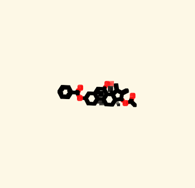 C=C1C(=C)[C@H]2[C@@H]3C(O)C=C4CC(OC(=O)c5ccccc5)CC[C@]4(C)[C@@H]3CC[C@]2(C)C1OC(C)=O